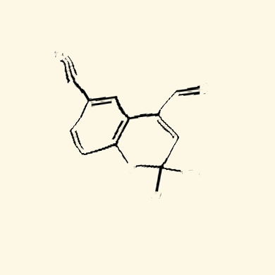 CC1(C)C=C([C]=O)c2cc(C#N)ccc2O1